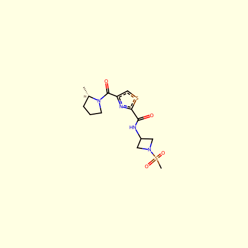 C[C@H]1CCCN1C(=O)c1csc(C(=O)NC2CN(S(C)(=O)=O)C2)n1